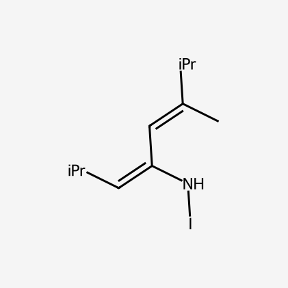 C/C(=C\C(=C/C(C)C)NI)C(C)C